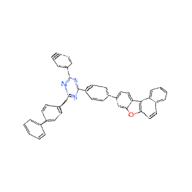 c1ccc(-c2nc(-c3ccc(-c4ccccc4)cc3)nc(-c3ccc(-c4ccc5c(c4)oc4ccc6ccccc6c45)cc3)n2)cc#1